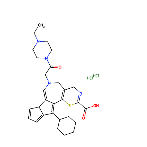 CCN1CCN(C(=O)CN2C=C3C(=C(C4CCCCC4)C4=CC=CC34)C3=C(CN=C(C(=O)O)S3)C2)CC1.Cl.Cl